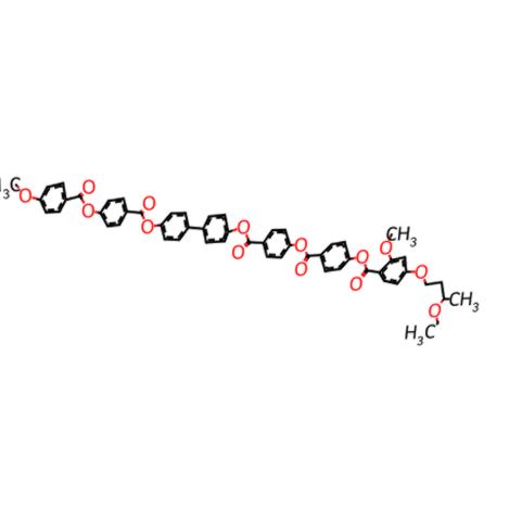 CCOC(C)CCOc1ccc(C(=O)Oc2ccc(C(=O)Oc3ccc(C(=O)Oc4ccc(-c5ccc(OC(=O)c6ccc(OC(=O)c7ccc(OC)cc7)cc6)cc5)cc4)cc3)cc2)c(OC)c1